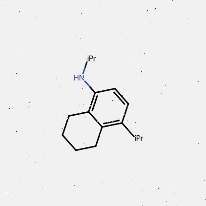 CC(C)Nc1ccc(C(C)C)c2c1CCCC2